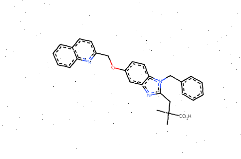 CC(C)(Cc1nc2cc(OCc3ccc4ccccc4n3)ccc2n1Cc1ccccc1)C(=O)O